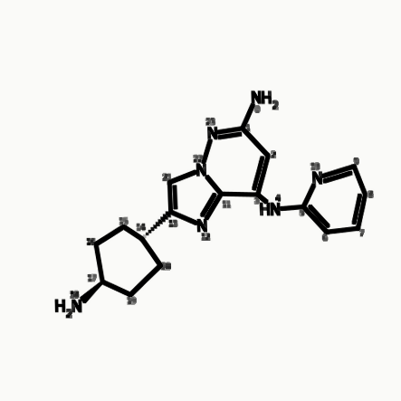 Nc1cc(Nc2ccccn2)c2nc([C@H]3CC[C@H](N)CC3)cn2n1